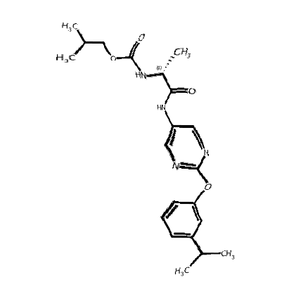 CC(C)COC(=O)N[C@H](C)C(=O)Nc1cnc(Oc2cccc(C(C)C)c2)nc1